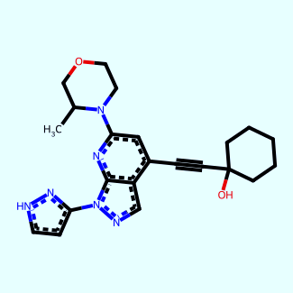 CC1COCCN1c1cc(C#CC2(O)CCCCC2)c2cnn(-c3cc[nH]n3)c2n1